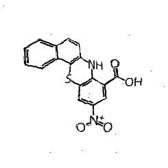 O=C(O)c1cc([N+](=O)[O-])cc2c1Nc1ccc3ccccc3c1S2